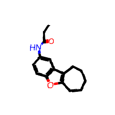 CCC(=O)Nc1ccc2oc3c(c2c1)CCCCC3